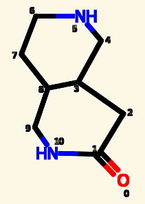 O=C1CC2CNCCC2CN1